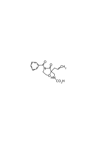 C=CCC1(CNC(=O)O)OCCN(C(=O)c2ccccc2)C1=O